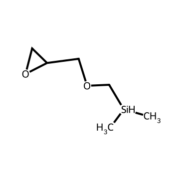 C[SiH](C)COCC1CO1